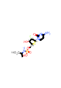 CC(NP(=O)(O)OC[C@H]1S[C@@H](n2ccc(N)nc2=O)[C@@H](F)[C@@H]1O)C(=O)O